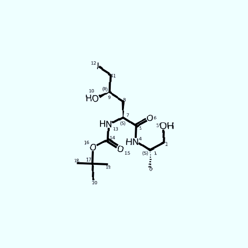 C[C@@H](CO)NC(=O)[C@H](C[C@@H](O)CI)NC(=O)OC(C)(C)C